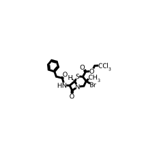 CC1(Br)CN2C(=O)C(NC(=O)Cc3ccccc3)[C@H]2SC1C(=O)OCC(Cl)(Cl)Cl